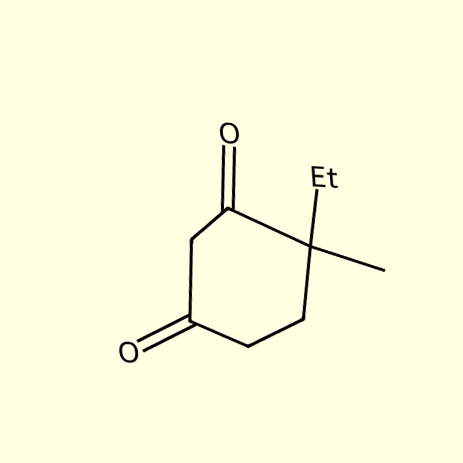 CCC1(C)CCC(=O)CC1=O